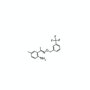 C/C(=N\OCc1cccc(C(F)(F)F)c1)c1cc(C)ccc1N